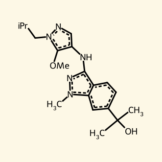 COc1c(Nc2nn(C)c3cc(C(C)(C)O)ccc23)cnn1CC(C)C